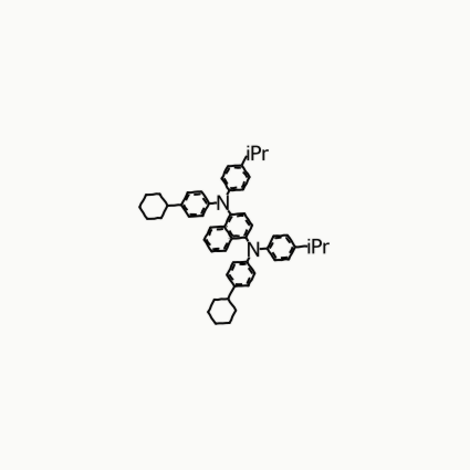 CC(C)c1ccc(N(c2ccc(C3CCCCC3)cc2)c2ccc(N(c3ccc(C(C)C)cc3)c3ccc(C4CCCCC4)cc3)c3ccccc23)cc1